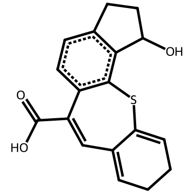 O=C(O)C1=CC2=CCCC=C2Sc2c1ccc1c2C(O)CC1